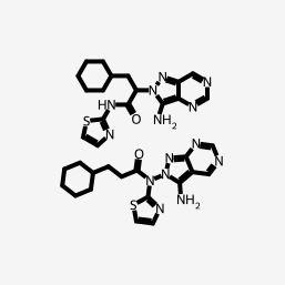 Nc1c2cncnc2nn1N(C(=O)CCC1CCCCC1)c1nccs1.Nc1c2ncncc2nn1C(CC1CCCCC1)C(=O)Nc1nccs1